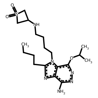 CCCCc1nc2c(N)nnc(OC(C)C)c2n1CCCCNC1CS(=O)(=O)C1